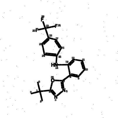 CC(C)(C)c1nnc(-c2ccccc2Nc2ccc(C(F)(F)F)cc2)o1